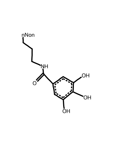 CCCCCCCCCCCCNC(=O)c1cc(O)c(O)c(O)c1